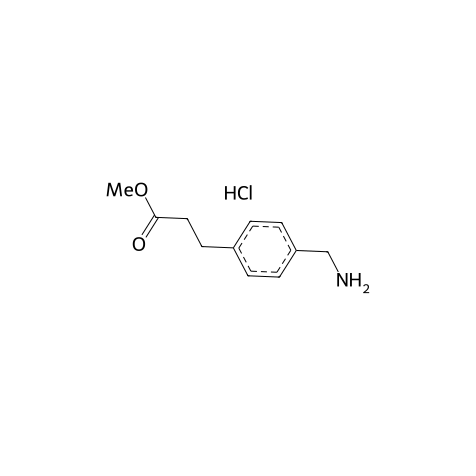 COC(=O)CCc1ccc(CN)cc1.Cl